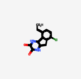 O=C(O)/C=c1\ccc(Cl)c2c1=c1[nH]c(=O)c(=O)[nH]c1=C2